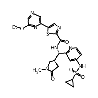 CCOc1cncc(-c2cnc(C(=O)N[C@H](c3cc(NS(=O)(=O)C4CC4)ccn3)[C@H]3CC(=O)N(C)C3)s2)n1